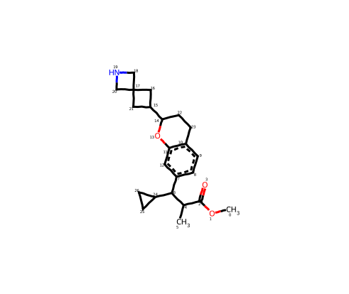 COC(=O)C(C)C(c1ccc2c(c1)OC(C1CC3(CNC3)C1)CC2)C1CC1